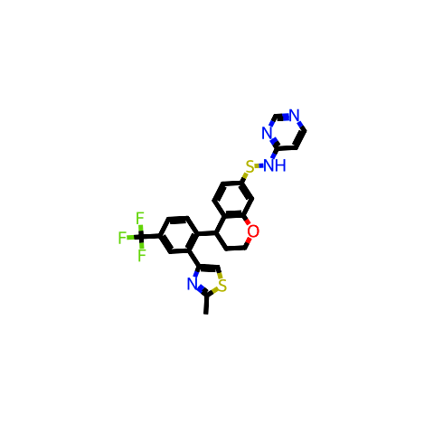 Cc1nc(-c2cc(C(F)(F)F)ccc2C2CCOc3cc(SNc4ccncn4)ccc32)cs1